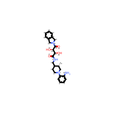 C[C@@H]1CN(c2ccccc2N)CCC1CNC(=O)[C@H](O)[C@@H](O)C(=O)N1Cc2ccccc2C1